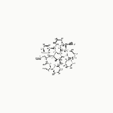 CC(C)(C)c1c(-c2ccccc2)n2c3c(cccc13)B1c3c-2cc(N(c2ccccc2)c2ccccc2)cc3-n2c(-c3ccccc3)c(C(C)(C)C)c3cccc1c32